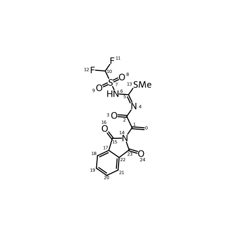 C=C(C(=O)N=C(NS(=O)(=O)C(F)F)SC)N1C(=O)c2ccccc2C1=O